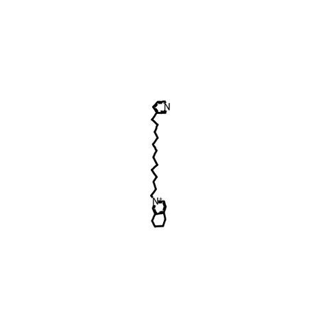 c1cncc(CCCCCCCCCCCCC[n+]2ccc3c(c2)CCCC3)c1